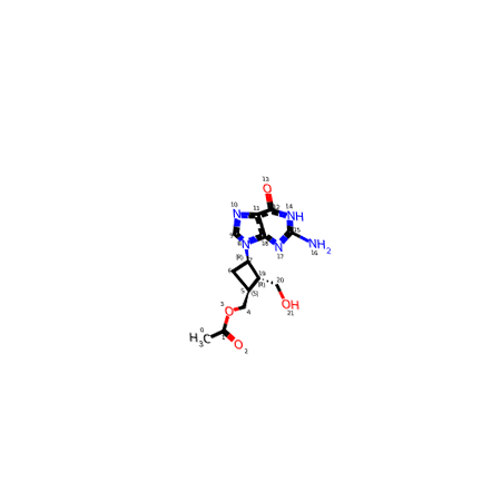 CC(=O)OC[C@H]1C[C@@H](n2cnc3c(=O)[nH]c(N)nc32)[C@@H]1CO